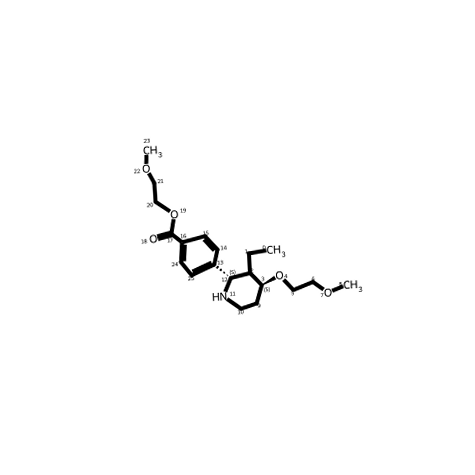 CCC1[C@@H](OCCOC)CCN[C@@H]1c1ccc(C(=O)OCCOC)cc1